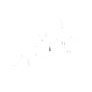 CCC[C@@H]([C@H](C(=O)O)C(C)CCc1ccoc1)N(O)C=O